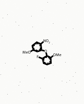 COc1ccc([N+](=O)[O-])c(Oc2c(F)cccc2OC)c1